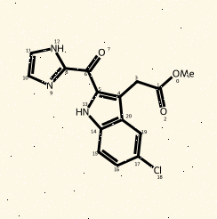 COC(=O)Cc1c(C(=O)c2ncc[nH]2)[nH]c2ccc(Cl)cc12